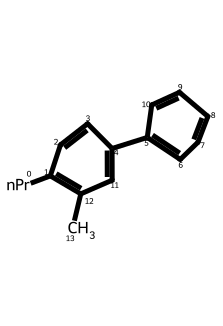 [CH2]CCc1ccc(-c2ccccc2)cc1C